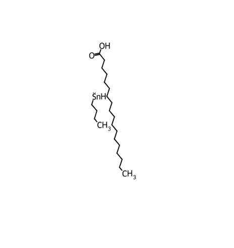 CCCCCCCCCCCCCCCCCC(=O)O.CCC[CH2][SnH]